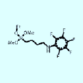 CCO[Si](CCCCNc1c(F)c(F)c(F)c(F)c1F)(OC)OC